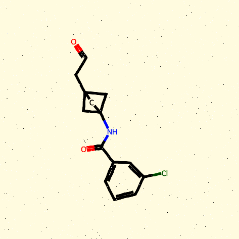 O=CCC12CC(NC(=O)c3cccc(Cl)c3)(C1)C2